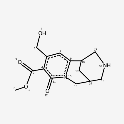 COC(=O)c1c(CO)cc2n(c1=O)CC1CNCC2C1